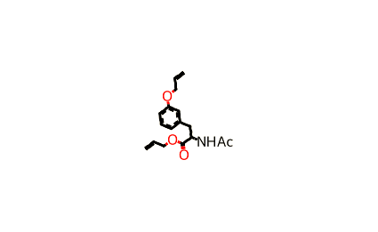 C=CCOC(=O)C(Cc1cccc(OCC=C)c1)NC(C)=O